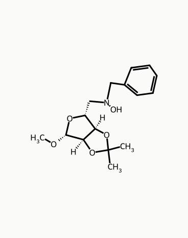 CO[C@@H]1O[C@H](CN(O)Cc2ccccc2)[C@H]2OC(C)(C)O[C@@H]12